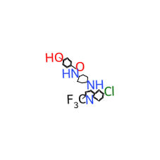 O=C(N[C@H]1CC[C@@H](Nc2cc(C(F)(F)F)nc3ccc(Cl)cc23)CC1)c1ccc(O)cc1